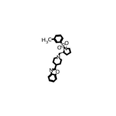 Cc1cccc(S(=O)(=O)N2CCC[C@H]2CN2CCC(c3nc4ccccc4o3)CC2)c1